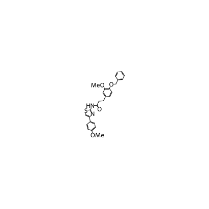 COc1ccc(-c2csc(NC(=O)CCc3ccc(OCc4ccccc4)c(OC)c3)n2)cc1